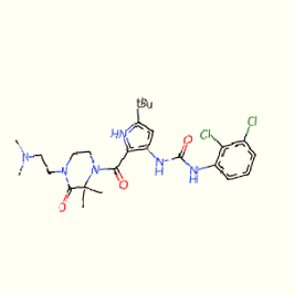 CN(C)CCN1CCN(C(=O)c2[nH]c(C(C)(C)C)cc2NC(=O)Nc2cccc(Cl)c2Cl)C(C)(C)C1=O